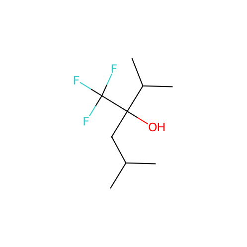 CC(C)CC(O)(C(C)C)C(F)(F)F